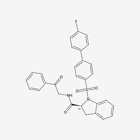 O=C(CNC(=O)[C@@H]1Cc2ccccc2N1S(=O)(=O)c1ccc(-c2ccc(F)cc2)cc1)c1ccccc1